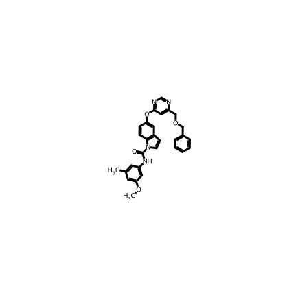 COc1cc(C)cc(NC(=O)n2ccc3cc(Oc4cc(COCc5ccccc5)ncn4)ccc32)c1